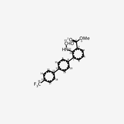 COC(=O)c1cccc(-c2ccc(-c3ccc(C(F)(F)F)cc3)cc2)c1NC=O